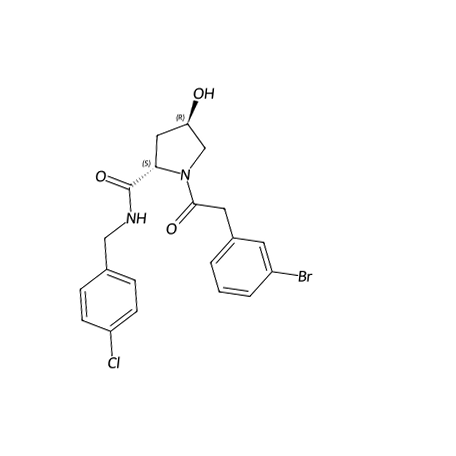 O=C(NCc1ccc(Cl)cc1)[C@@H]1C[C@@H](O)CN1C(=O)Cc1cccc(Br)c1